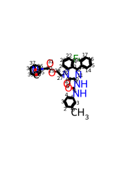 Cc1cccc(NC(=O)N[C@@H]2N=C(c3ccccc3F)c3ccccc3N(CCOC(=O)N3CC4CCC(CC4)C3)C2=O)c1